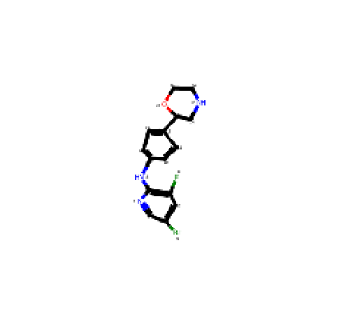 Fc1cc(Br)cnc1Nc1ccc(C2CNCCO2)cc1